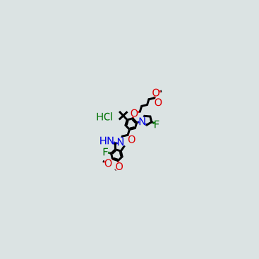 COC(=O)CCCCOc1c(N2CCC(F)C2)cc(C(=O)CN2Cc3cc(OC)c(OC)c(F)c3C2=N)cc1C(C)(C)C.Cl